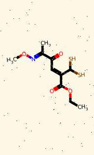 CCOC(=O)C(=CC(=O)C(C)=NOC)C(S)S